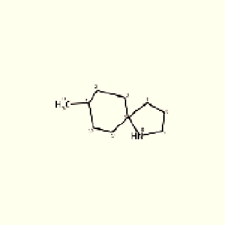 CC1CCC2(CCCN2)CC1